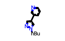 [CH2]CCCn1cc(-c2cccnc2)cn1